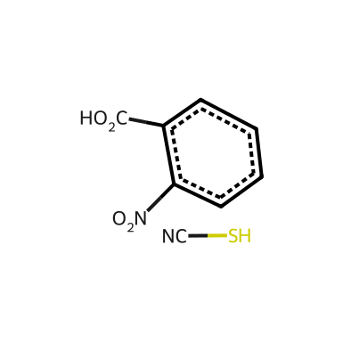 N#CS.O=C(O)c1ccccc1[N+](=O)[O-]